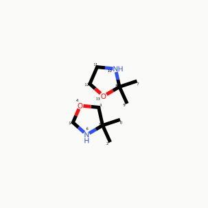 CC1(C)COCN1.CC1(C)NCCO1